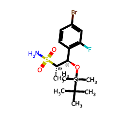 C[C@@H]([C@H](O[Si](C)(C)C(C)(C)C)c1ccc(Br)cc1F)S(N)(=O)=O